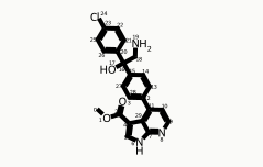 COC(=O)c1c[nH]c2nccc(-c3ccc(C(O)(CN)c4ccc(Cl)cc4)cc3)c12